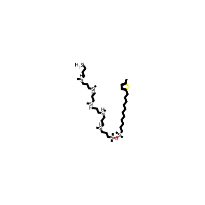 Cc1ccc(CCCCCCCCCCC[Si](C)(C)O[Si](C)(C)CCC[SiH](C)CCC[SiH](C)CCC[SiH](C)CCC[SiH](C)CCC[SiH](C)CCC[SiH3])s1